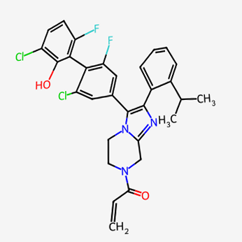 C=CC(=O)N1CCn2c(nc(-c3ccccc3C(C)C)c2-c2cc(F)c(-c3c(F)ccc(Cl)c3O)c(Cl)c2)C1